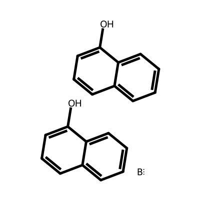 Oc1cccc2ccccc12.Oc1cccc2ccccc12.[B]